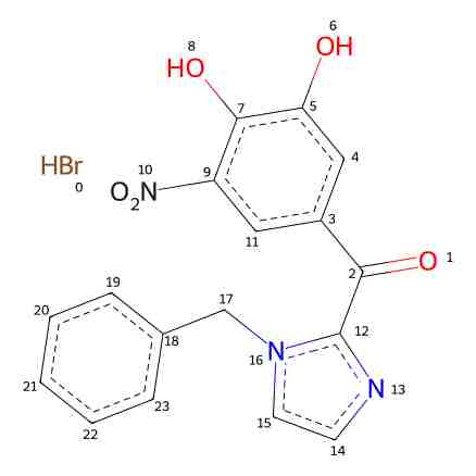 Br.O=C(c1cc(O)c(O)c([N+](=O)[O-])c1)c1nccn1Cc1ccccc1